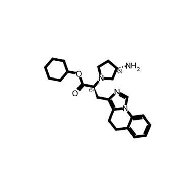 N[C@H]1CCN([C@@H](Cc2ncn3c2CCc2ccccc2-3)C(=O)OC2CCCCC2)C1